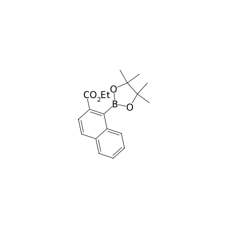 CCOC(=O)c1ccc2ccccc2c1B1OC(C)(C)C(C)(C)O1